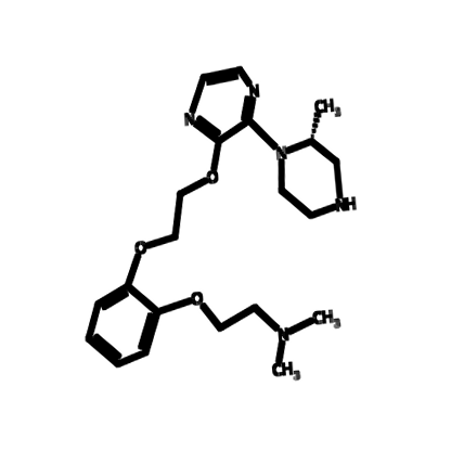 C[C@@H]1CNCCN1c1nccnc1OCCOc1ccccc1OCCN(C)C